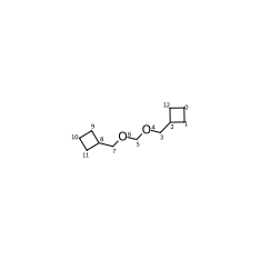 C1CC(COCOCC2CCC2)C1